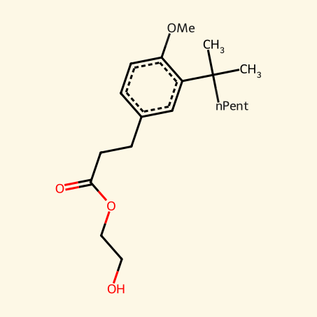 CCCCCC(C)(C)c1cc(CCC(=O)OCCO)ccc1OC